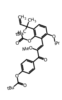 C=CC(C)(C)c1ccc(OC(C)C)c(C=C(OC)C(=O)c2ccc(OC(=O)C(C)(C)C)cc2)c1OC(=O)C(C)(C)C